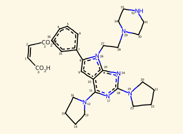 O=C(O)/C=C\C(=O)O.c1ccc(-c2cc3c(N4CCCC4)nc(N4CCCC4)nc3n2CCN2CCNCC2)cc1